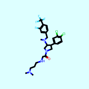 CN(C)CCCNCC(=O)N1CC(c2ccc(Cl)c(Cl)c2)C(N(C)Cc2ccc(C(F)(F)F)c(F)c2)C1